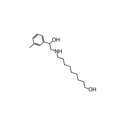 Cc1cccc(C(O)CNCCCCCCCCCO)c1